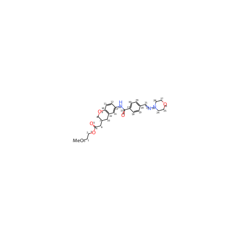 COCCOC(=O)CC1COc2ccc(NC(=O)c3ccc(/C=N/N4CCOCC4)cc3)cc2C1